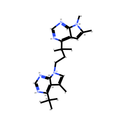 Cc1cn(CCC(C)(C)c2ncnc3c2cc(C)n3C)c2ncnc(C(C)(C)C)c12